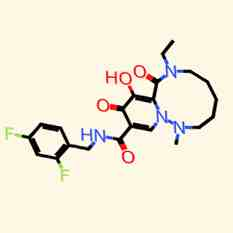 CCN1CCCCCN(C)n2cc(C(=O)NCc3ccc(F)cc3F)c(=O)c(O)c2C1=O